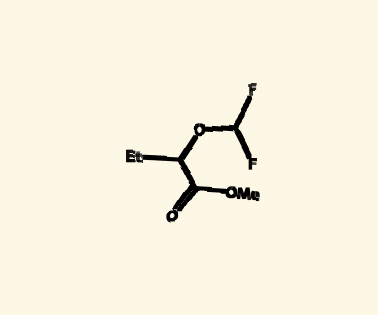 CCC(OC(F)F)C(=O)OC